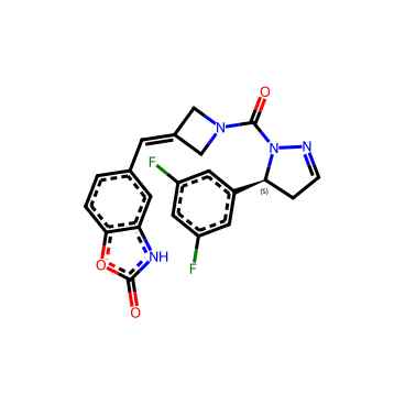 O=C(N1CC(=Cc2ccc3oc(=O)[nH]c3c2)C1)N1N=CC[C@H]1c1cc(F)cc(F)c1